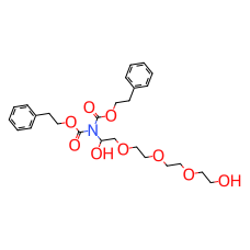 O=C(OCCc1ccccc1)N(C(=O)OCCc1ccccc1)C(O)COCCOCCOCCO